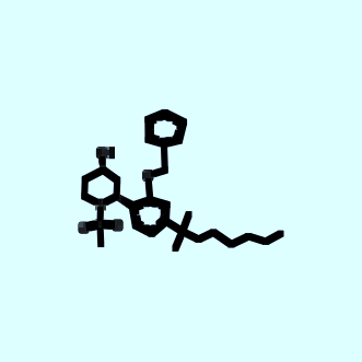 CCCCCCC(C)(C)c1ccc([C@@H]2C[C@H](O)CCN2S(C)(=O)=O)c(OCc2ccccc2)c1